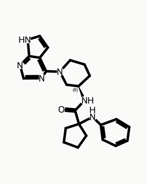 O=C(N[C@@H]1CCCN(c2ncnc3[nH]ccc23)C1)C1(Nc2ccccc2)CCCC1